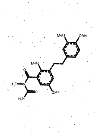 CNc1c(CCc2ccc(OC)c(OC)c2)cc(OC)cc1C(=O)N(C)C(N)=O